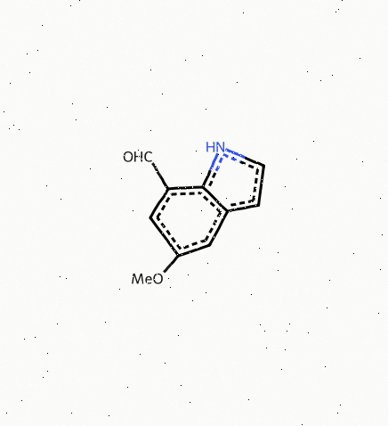 COc1cc(C=O)c2[nH]ccc2c1